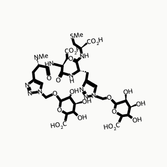 CN[C@@H](Cc1cn(COC2OC(C(=O)O)C(O)[C@H](O)[C@@H]2O)nn1)C(=O)N[C@@H](CC(=O)O)C(=O)N[C@@H](Cc1cn(COC2OC(C(=O)O)C(O)[C@H](O)[C@@H]2O)nn1)C(=O)N[C@@H](CSC)C(=O)O